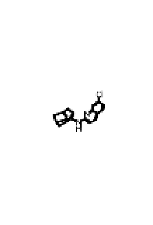 Clc1ccc2ccc(NC3C4CC5CC(C4)CC3C5)nc2c1